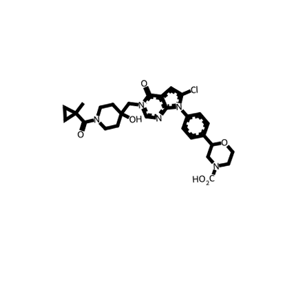 CC1(C(=O)N2CCC(O)(Cn3cnc4c(cc(Cl)n4-c4ccc(C5CN(C(=O)O)CCO5)cc4)c3=O)CC2)CC1